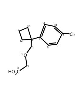 O=C(O)COCC1(c2ccc(Cl)cc2)CCC1